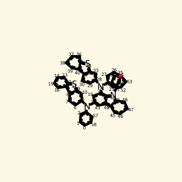 c1ccc(N(c2ccc3c(c2)sc2ccccc23)c2cc(N(c3ccccc3)c3ccc4c(c3)sc3ccccc34)c3c(c2)c2ccccc2n3-c2ccccc2)cc1